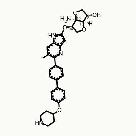 N[C@]12OC[C@@H](O)[C@H]1OC[C@H]2Oc1cc2nc(-c3ccc(-c4ccc(OC5CCNCC5)cc4)cc3)c(F)cc2[nH]1